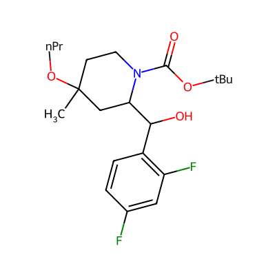 CCCOC1(C)CCN(C(=O)OC(C)(C)C)C(C(O)c2ccc(F)cc2F)C1